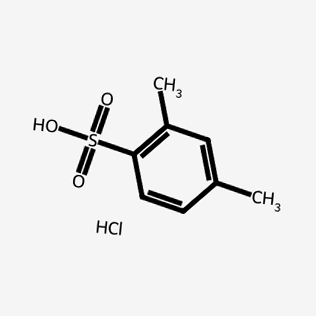 Cc1ccc(S(=O)(=O)O)c(C)c1.Cl